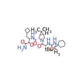 CC1(NC(=O)NC(C(=O)N2C[C@H]3C([C@H]2C(=O)NC(CC2CCC2)C(=O)C(N)=O)C3(C)C)C(C)(C)C)CCCCC1